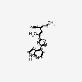 C=C/C=C(C#N)\C=C(/C)c1nc(-c2ccnc3[nH]ccc23)no1